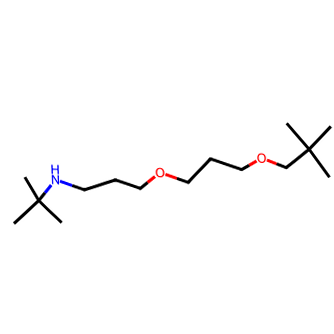 CC(C)(C)COCCCOCCCNC(C)(C)C